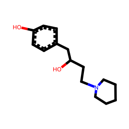 Oc1ccc(CC(O)CCN2CCCCC2)cc1